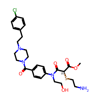 COC(=O)[C@@H](SCCN)C(=O)N(CCO)c1ccc(C(=O)N2CCN(CCc3ccc(Cl)cc3)CC2)cc1